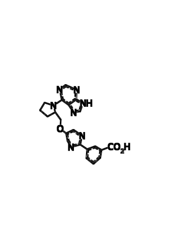 O=C(O)c1cccc(-c2ncc(OCC3CCCN3c3ncnc4[nH]cnc34)cn2)c1